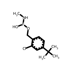 CNP(O)OCc1ccc(C(C)(C)C)cc1Cl